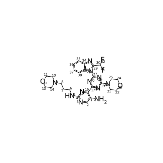 Nc1cnc(NCCCN2CCOCC2)nc1-c1nc(N2CCOCC2)nc(-n2c(C(F)F)nc3ccccc32)n1